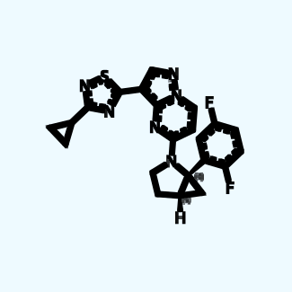 Fc1ccc(F)c([C@@]23C[C@@H]2CCN3c2ccn3ncc(-c4nc(C5CC5)ns4)c3n2)c1